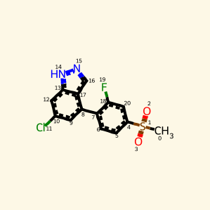 CS(=O)(=O)c1ccc(-c2cc(Cl)cc3[nH]ncc23)c(F)c1